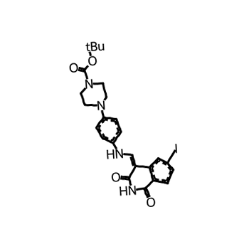 CC(C)(C)OC(=O)N1CCN(c2ccc(N/C=C3\C(=O)NC(=O)c4ccc(I)cc43)cc2)CC1